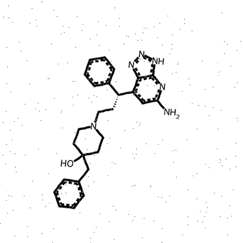 Nc1cc([C@H](CCN2CCC(O)(Cc3ccccc3)CC2)c2ccccc2)c2nn[nH]c2n1